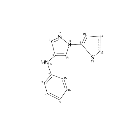 c1ccc(Nc2cnn(-c3cccs3)c2)cc1